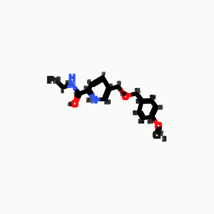 CC(C)CNC(=O)c1ccc(COCc2ccc(OC(F)(F)F)cc2)cn1